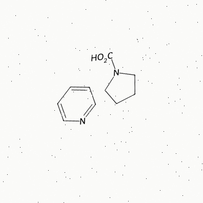 O=C(O)N1CCCC1.c1ccncc1